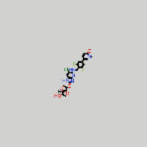 Cn1cc(-c2cc(F)c(CNc3nc4nc(O[C@@H]5CO[C@H]6C5OC[C@H]6O)[nH]c4cc3Cl)c(F)c2)ccc1=O